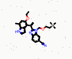 C=C(c1c(OCC)cc(C)c2[nH]ccc12)c1nc2ccc(C#N)cc2n1COCC[Si](C)(C)C